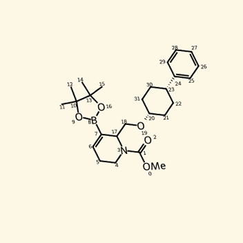 COC(=O)N1CCC=C(B2OC(C)(C)C(C)(C)O2)C1CO[C@H]1CC[C@@H](c2ccccc2)CC1